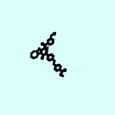 COC(=O)c1ccc(CCc2ccc(NC(=O)c3c(NC(=O)c4cccc(CCl)c4)sc4c3CCCCC4)cc2)cc1